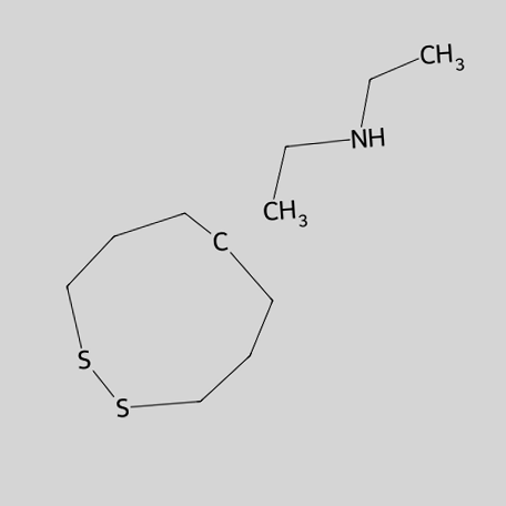 C1CCCSSCCC1.CCNCC